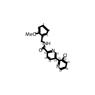 COc1ccccc1CNC(=O)c1ccc(-c2ncccc2Cl)cn1